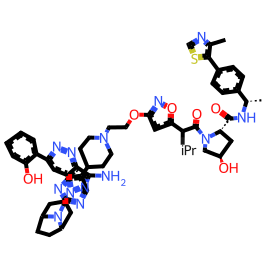 Cc1ncsc1-c1ccc([C@H](C)NC(=O)[C@@H]2C[C@@H](O)CN2C(=O)C(c2cc(OCCN3CCC(c4cnc(N5C6CCC5CC(n5nc(N)c7nnc(-c8ccccc8O)cc75)C6)nc4)CC3)no2)C(C)C)cc1